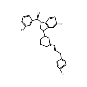 O=C(c1ccnc(Cl)c1)N1CC(C2CCCN(C=CCc3ccc(Cl)cc3)C2)c2cc(F)ccc21